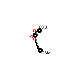 COc1ccc(/C=C/CCCCOc2ccc(C(=O)c3cccc(C(=O)O)c3)cc2[O])cc1